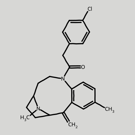 C=C1c2cc(C)ccc2N(C(=O)Cc2ccc(Cl)cc2)CCC2CCC1N2C